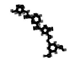 COc1cc(COc2cc(Nc3ccnc(NCc4cc(C)no4)n3)n[nH]2)cc(OC)c1